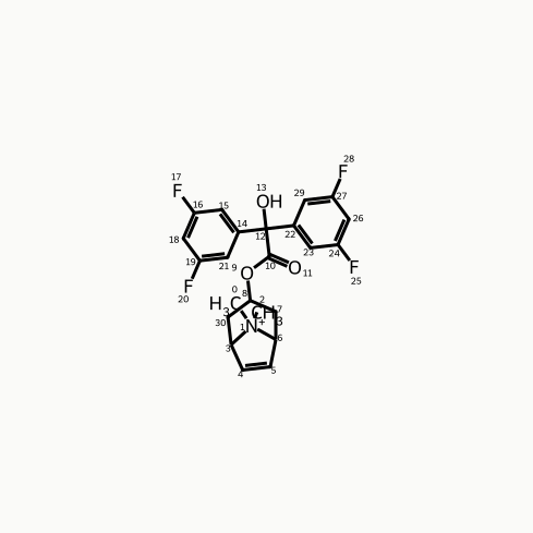 C[N+]1(C)C2C=CC1CC(OC(=O)C(O)(c1cc(F)cc(F)c1)c1cc(F)cc(F)c1)C2